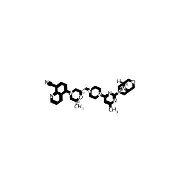 Cc1cc(N2CCN(C[C@H]3CN(c4ccc(C#N)c5ncccc45)C[C@@H](C)O3)CC2)nc(N2CC3COC[C@@H](C2)N3)n1